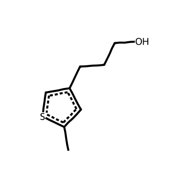 Cc1cc(CCCO)cs1